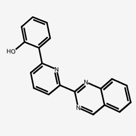 Oc1ccccc1-c1cccc(-c2ncc3ccccc3n2)n1